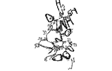 CCOC(=O)[C@@H](NC(C)=O)C(CSC)N1C(=O)[C@@](NC)(C(=O)C(N)CS)CCc2ccccc21